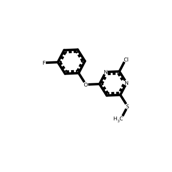 CSc1cc(Oc2cccc(F)c2)nc(Cl)n1